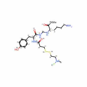 CNC(=O)[C@H](CCCCN)NCNC(=O)[C@H](Cc1ccc(O)cc1)NC(=O)CCSSCCN(C)F